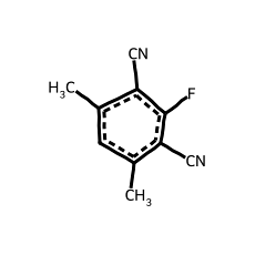 Cc1cc(C)c(C#N)c(F)c1C#N